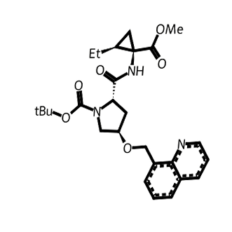 CC[C@H]1C[C@]1(NC(=O)[C@@H]1C[C@@H](OCc2cccc3cccnc23)CN1C(=O)OC(C)(C)C)C(=O)OC